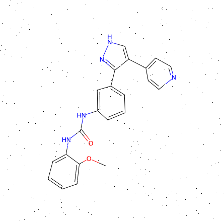 COc1ccccc1NC(=O)Nc1cccc(-c2n[nH]cc2-c2ccncc2)c1